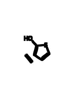 C=C.Oc1cccs1